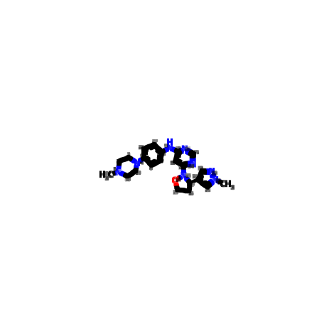 CN1CCN(c2ccc(Nc3cc(N4OCC[C@@H]4c4cnn(C)c4)ncn3)cc2)CC1